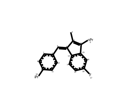 CCCC1=C(C)/C(=C/c2ccc(C(C)C)cc2)c2ccc(F)cc21